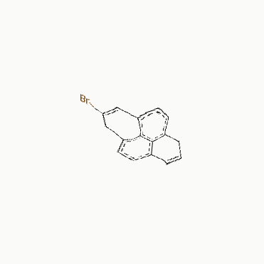 BrC1=Cc2ccc3c4c(ccc(c24)C1)C=CC3